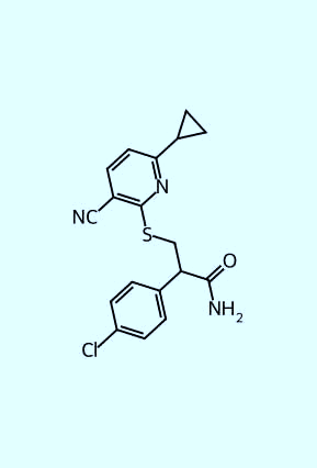 N#Cc1ccc(C2CC2)nc1SCC(C(N)=O)c1ccc(Cl)cc1